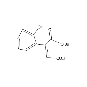 CC(C)COC(=O)C(=CC(=O)O)c1ccccc1O